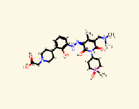 CC1=C(CN(C)C)C(=O)N(C2CCP(C)(=O)CC2)C(=O)C1=NNc1cccc(C2CCN(CC(=O)O)CC2)c1O